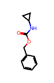 O=C(NC1CC1)OCc1ccccc1